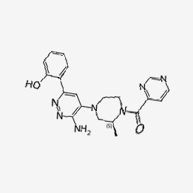 C[C@H]1CN(c2cc(-c3ccccc3O)nnc2N)CCN1C(=O)c1ccncn1